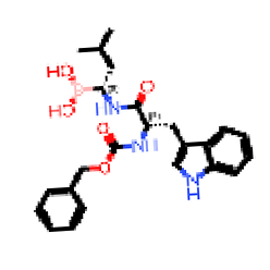 CC(C)C[C@H](NC(=O)[C@H](Cc1c[nH]c2ccccc12)NC(=O)OCc1ccccc1)B(O)O